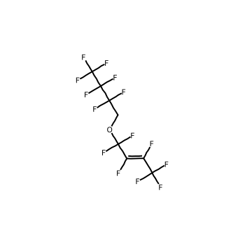 FC(=C(F)C(F)(F)OCC(F)(F)C(F)(F)C(F)(F)F)C(F)(F)F